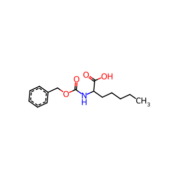 CCCCCC(NC(=O)OCc1ccccc1)C(=O)O